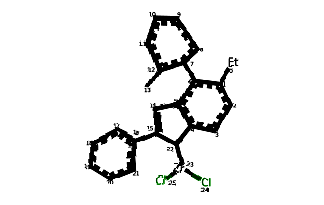 CCc1ccc2c(c1-c1ccccc1C)C=C(c1ccccc1)[CH]2[Zr]([Cl])[Cl]